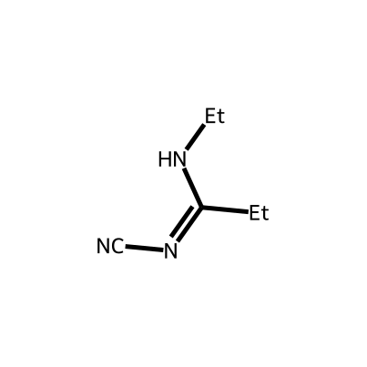 CCN/C(CC)=N\C#N